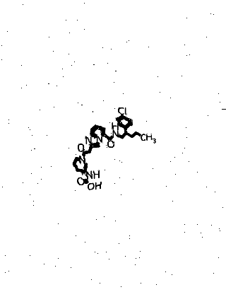 CCCC(CNC(=O)c1cccc2nc(CC(=O)N3CCC[C@@H](NC(=O)O)C3)cn12)c1ccc(Cl)cc1